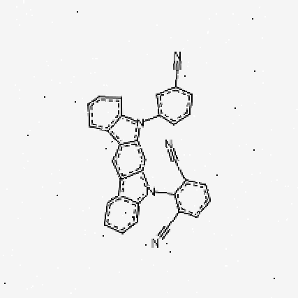 N#Cc1cccc(-n2c3ccccc3c3cc4c5ccccc5n(-c5c(C#N)cccc5C#N)c4cc32)c1